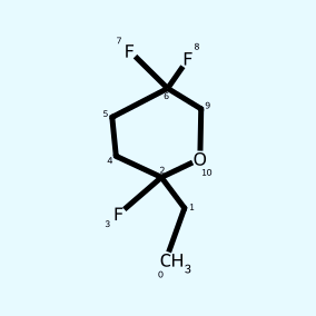 CCC1(F)CCC(F)(F)CO1